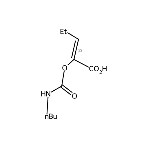 CC/C=C(\OC(=O)NCCCC)C(=O)O